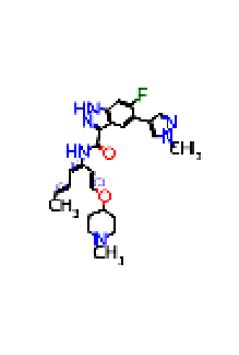 C/C=C/C=C(\C=C\OC1CCN(C)CC1)NC(=O)c1n[nH]c2cc(F)c(-c3cnn(C)c3)cc12